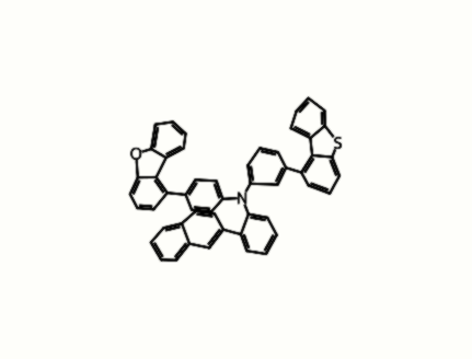 c1cc(-c2cccc3sc4ccccc4c23)cc(N(c2ccc(-c3cccc4oc5ccccc5c34)cc2)c2ccccc2-c2ccc3ccccc3c2)c1